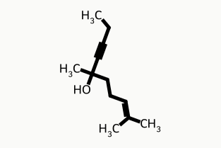 CCC#CC(C)(O)CCC=C(C)C